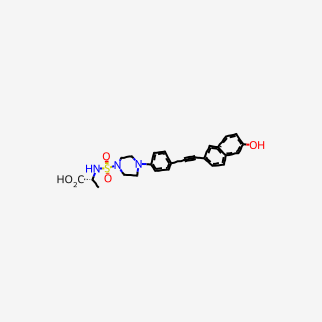 C[C@@H](NS(=O)(=O)N1CCN(c2ccc(C#Cc3ccc4cc(O)ccc4c3)cc2)CC1)C(=O)O